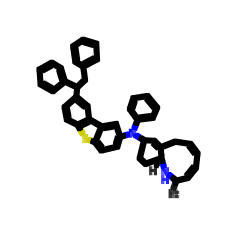 CCC1/C=C\C=C/CC2=CC(N(c3ccccc3)c3ccc4sc5ccc(C(Cc6ccccc6)c6ccccc6)cc5c4c3)CC[C@H]2N1